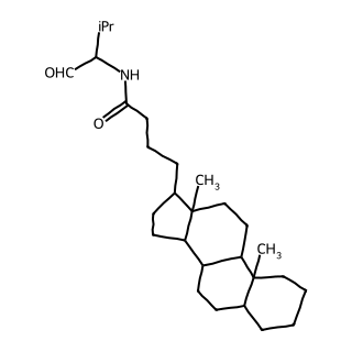 CC(C)C(C=O)NC(=O)CCCC1CCC2C3CCC4CCCCC4(C)C3CCC12C